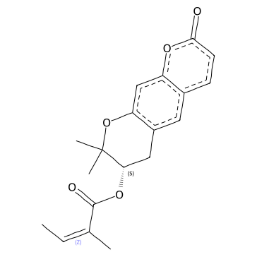 C/C=C(/C)C(=O)O[C@H]1Cc2cc3ccc(=O)oc3cc2OC1(C)C